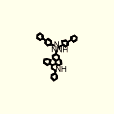 C1=CC(c2ccc(C3=NC(c4ccc(-c5ccccc5)cc4)=NC(C4=CC=C5C6=C(C=CC5C4)NC(c4ccccc4)CC6c4ccccc4)N3)cc2)=CCC1